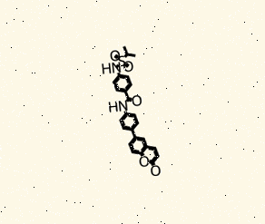 CC(C)S(=O)(=O)Nc1ccc(C(=O)Nc2ccc(-c3ccc4oc(=O)ccc4c3)cc2)cc1